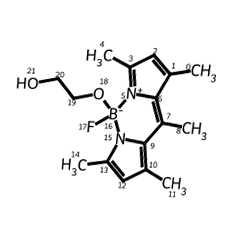 CC1=CC(C)=[N+]2C1=C(C)c1c(C)cc(C)n1[B-]2(F)OCCO